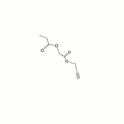 C#CCOC(=O)COC(=O)C[CH2]